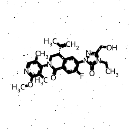 C=C(C)[C@H]1CN(c2c(C)cnc(OC)c2C)C(=O)c2cc(F)c(-n3nc(CO)n(CC)c3=O)cc21